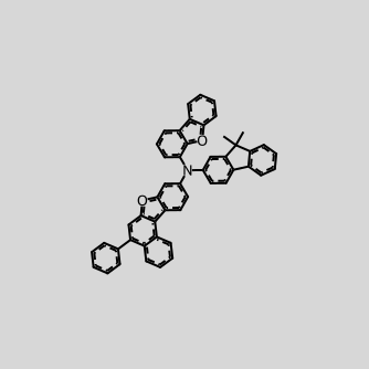 CC1(C)c2ccccc2-c2ccc(N(c3ccc4c(c3)oc3cc(-c5ccccc5)c5ccccc5c34)c3cccc4c3oc3ccccc34)cc21